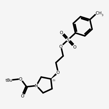 Cc1ccc(S(=O)(=O)OCCO[C@H]2CCN(C(=O)OC(C)(C)C)C2)cc1